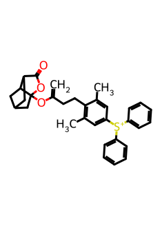 C=C(CCc1c(C)cc([S+](c2ccccc2)c2ccccc2)cc1C)OC12CC3CC(C(=O)O1)C2C3